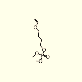 C=COCCCCOP(=O)(OC)OC